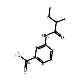 CCC(C)C(=O)Nc1cccc(C(=O)O)c1